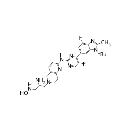 Cc1nc2c(F)cc(-c3nc(Nc4ccc5c(n4)CCN(CC(N)CNO)C5)ncc3F)cc2n1C(C)(C)C